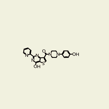 O=C(c1csc2c(O)nc(-c3ccccn3)nc12)N1CCN(c2ccc(O)cc2)CC1